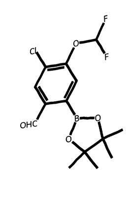 CC1(C)OB(c2cc(OC(F)F)c(Cl)cc2C=O)OC1(C)C